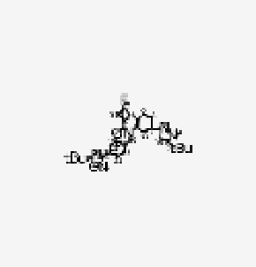 Cn1nc(-c2cccc(N(CC34CCC(c5noc(C(C)(C)C)n5)(CC3)CC4)C(=O)C34CC(F)(C3)C4)c2)cc1C(C)(C)C